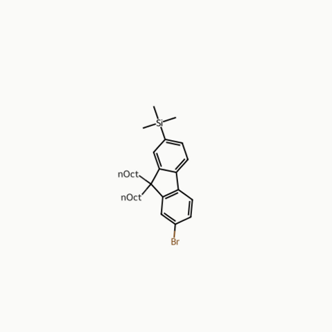 CCCCCCCCC1(CCCCCCCC)c2cc(Br)ccc2-c2ccc([Si](C)(C)C)cc21